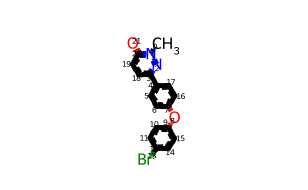 Cn1nc(-c2ccc(Oc3ccc(Br)cc3)cc2)ccc1=O